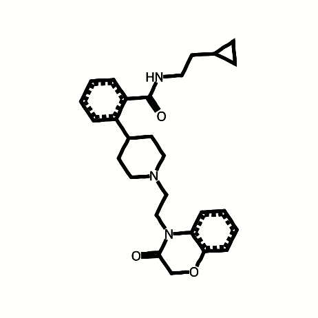 O=C(NCCC1CC1)c1ccccc1C1CCN(CCN2C(=O)COc3ccccc32)CC1